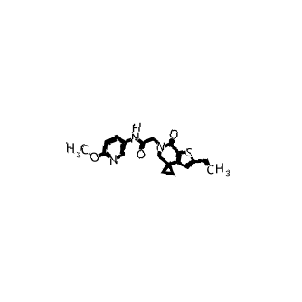 CCc1cc2c(s1)C(=O)N(CC(=O)Nc1ccc(OC)nc1)CC21CC1